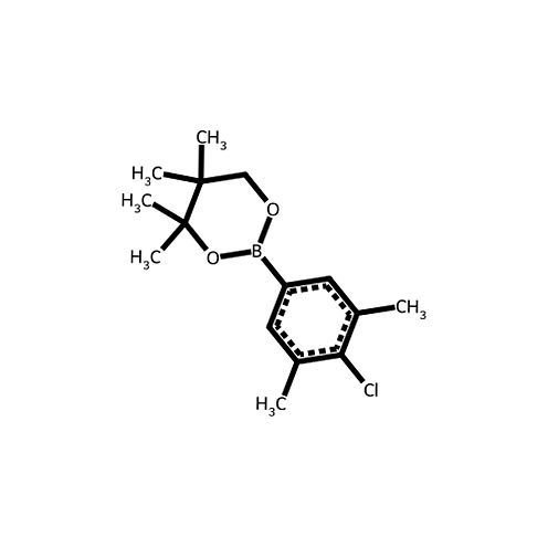 Cc1cc(B2OCC(C)(C)C(C)(C)O2)cc(C)c1Cl